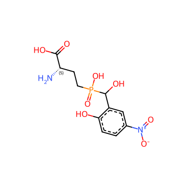 N[C@@H](CCP(=O)(O)C(O)c1cc([N+](=O)[O-])ccc1O)C(=O)O